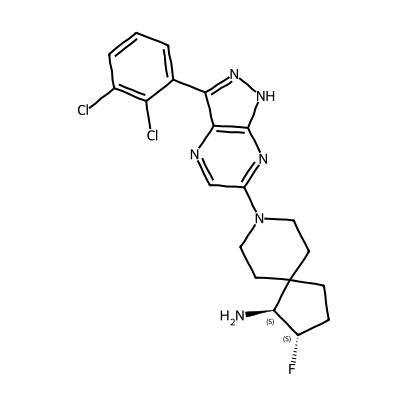 N[C@@H]1[C@@H](F)CCC12CCN(c1cnc3c(-c4cccc(Cl)c4Cl)n[nH]c3n1)CC2